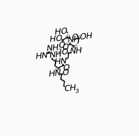 CCCCC(=O)N[C@@H](CCCNC(=N)N)C(=O)NCC(=O)N[C@@H](CC(=O)O)C(=O)N[C@@H](CO)C(=O)O